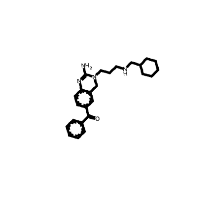 NC1=Nc2ccc(C(=O)c3ccccc3)cc2CN1CCCNCC1CCCCC1